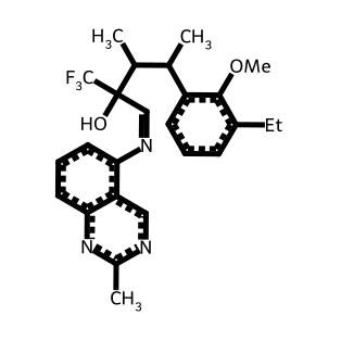 CCc1cccc(C(C)C(C)C(O)(C=Nc2cccc3nc(C)ncc23)C(F)(F)F)c1OC